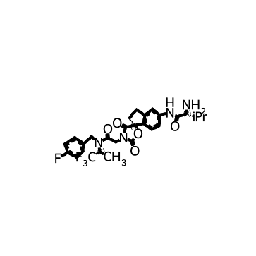 CC(C)[C@@H](N)C(=O)Nc1ccc2c(c1)CC[C@@]21OC(=O)N(CC(=O)N(Cc2ccc(F)cc2)[C@@H](C)C(F)(F)F)C1=O